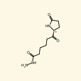 NNC(=O)CCCCC(=O)[C@@H]1CCC(=O)N1